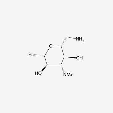 CC[C@@H]1O[C@H](CN)[C@@H](O)[C@H](NC)[C@H]1O